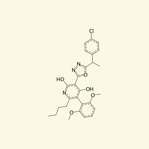 CCCCc1nc(O)c(-c2nnc(C(C)c3ccc(Cl)cc3)o2)c(O)c1-c1c(OC)cccc1OC